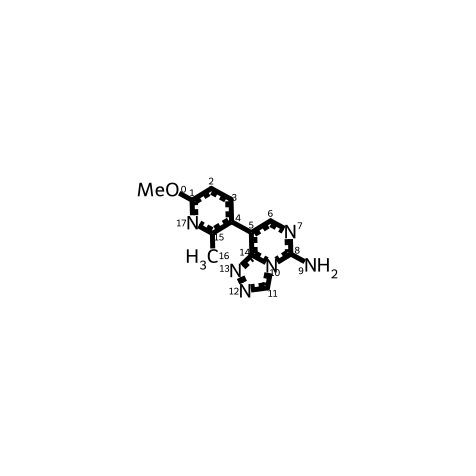 COc1ccc(-c2cnc(N)n3cnnc23)c(C)n1